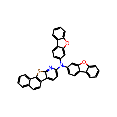 c1ccc2c(c1)ccc1c3ccc(N(c4ccc5c(c4)oc4ccccc45)c4ccc5c(c4)oc4ccccc45)nc3sc21